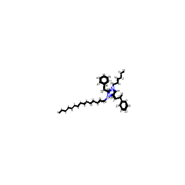 CCCCCCCCCCCCCCC[n+]1c(CC(C)c2ccccc2)cn(CCCCCC)c1Cc1ccccc1